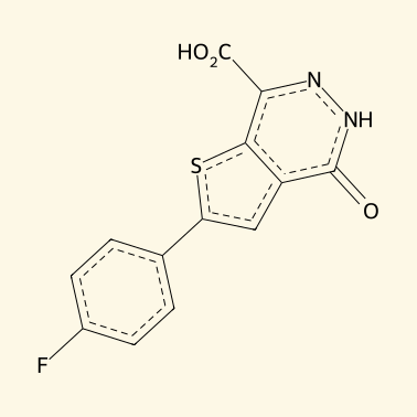 O=C(O)c1n[nH]c(=O)c2cc(-c3ccc(F)cc3)sc12